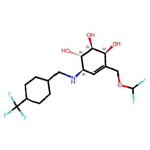 O[C@@H]1[C@@H](O)[C@@H](O)C(COC(F)F)=C[C@H]1NCC1CCC(C(F)(F)F)CC1